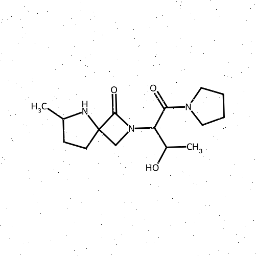 CC1CCC2(CN(C(C(=O)N3CCCC3)C(C)O)C2=O)N1